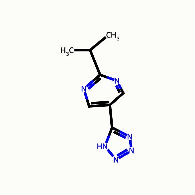 CC(C)c1ncc(-c2nnn[nH]2)cn1